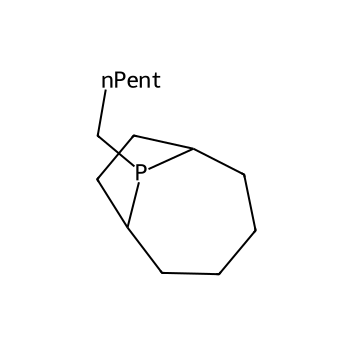 CCCCCCP1C2CCCCC1CC2